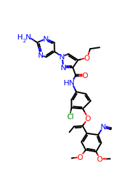 C=Nc1cc(OC)c(OC)cc1/C(=C\C)Oc1ccc(NC(=O)c2nn(-c3cnc(N)nc3)cc2OCC)cc1Cl